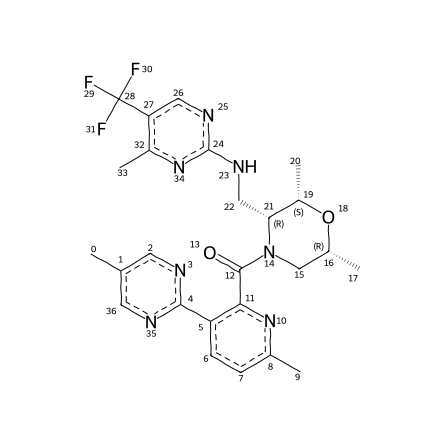 Cc1cnc(-c2ccc(C)nc2C(=O)N2C[C@@H](C)O[C@@H](C)[C@H]2CNc2ncc(C(F)(F)F)c(C)n2)nc1